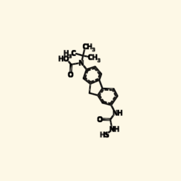 CC(C)(C)N(C(=O)O)c1ccc2c(c1)Cc1cc(NC(=O)NS)ccc1-2